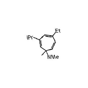 CCC1=CC(C(C)C)=CC(C)(NC)C=C1